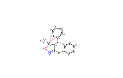 CC1(O)ON=C(Cc2ccccc2)C1Cc1ccccc1